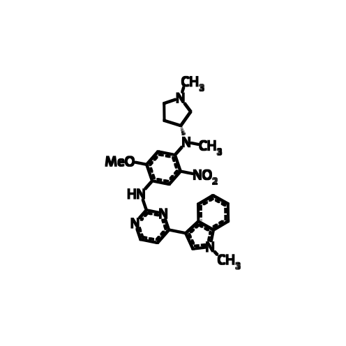 COc1cc(N(C)[C@@H]2CCN(C)C2)c([N+](=O)[O-])cc1Nc1nccc(-c2cn(C)c3ccccc23)n1